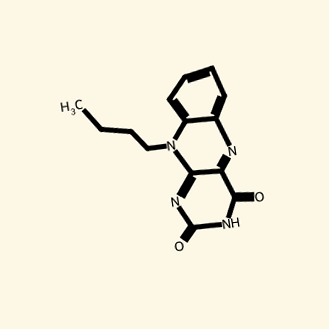 CCCCn1c2nc(=O)[nH]c(=O)c-2nc2ccccc21